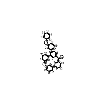 O=C(c1ccccc1)c1ccccc1.c1ccc(Oc2ccccc2)cc1.c1ccc(Oc2ccccc2)cc1